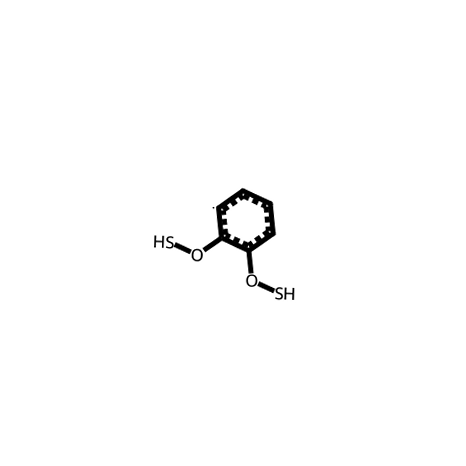 SOc1[c]cccc1OS